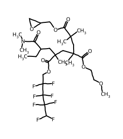 CCC(CC(C)(CC(C)(CC(C)(C)C(=O)OCC1CO1)C(=O)OCCOC)C(=O)OCC(F)(F)C(F)(F)C(F)(F)C(F)F)C(=O)N(C)C